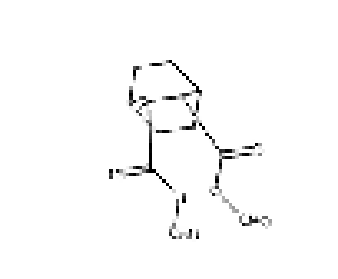 O=COC(=O)C1=C2CCC(CC2)C1C(=O)OC=O